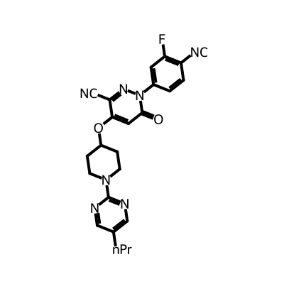 [C-]#[N+]c1ccc(-n2nc(C#N)c(OC3CCN(c4ncc(CCC)cn4)CC3)cc2=O)cc1F